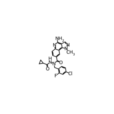 Cn1ncc2c(N)nc3ccc(C(=O)N(Cc4ccc(Cl)cc4F)NC(=O)C4CC4)cc3c21